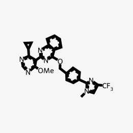 COc1ncnc(C2CC2)c1-c1nc(OCc2ccc(-c3nc(C(F)(F)F)cn3C)cc2)c2ccccc2n1